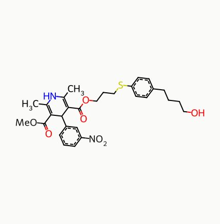 COC(=O)C1=C(C)NC(C)=C(C(=O)OCCCSc2ccc(CCCCO)cc2)C1c1cccc([N+](=O)[O-])c1